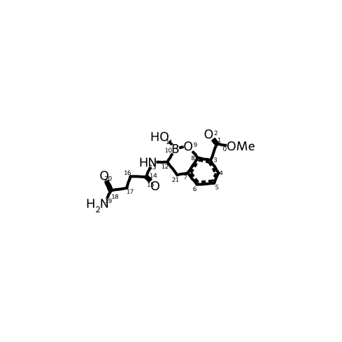 COC(=O)c1cccc2c1OB(O)C(NC(=O)CCC(N)=O)C2